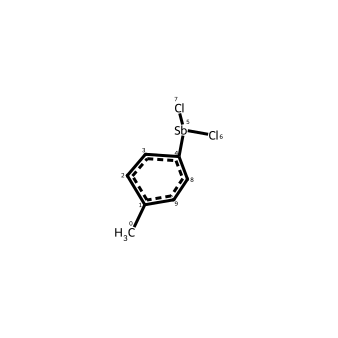 Cc1cc[c]([Sb]([Cl])[Cl])cc1